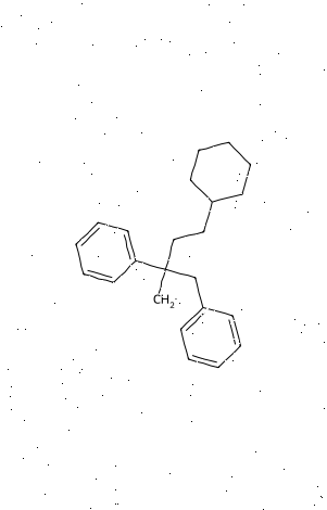 [CH2]C(CCC1CCCCC1)(Cc1ccccc1)c1ccccc1